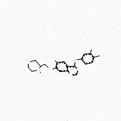 CCCN1CCN(CC)CC1COc1cc2ncnc(Nc3ccc(Cl)c(Cl)c3)c2cc1OC